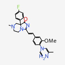 C=CN(/C=C(/C)N)c1ccc(/C=C/C2=NC(=O)C3(c4ccc(F)cc4)CN(C)CCN23)cc1OC